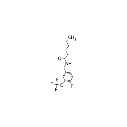 CCCCCC(=O)NCc1ccc(F)c(OC(F)(F)F)c1